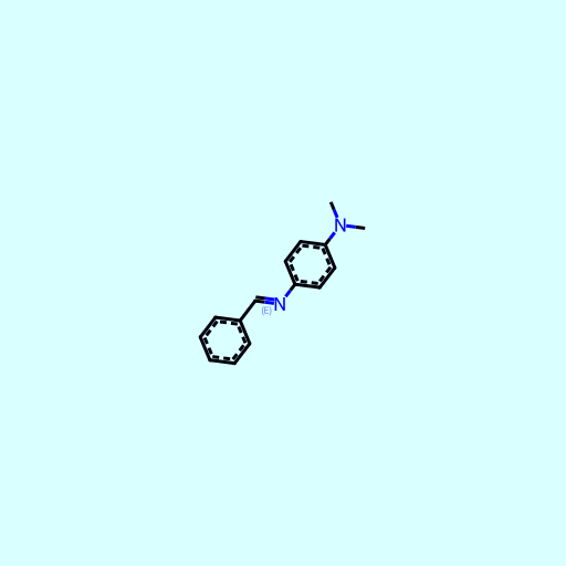 CN(C)c1ccc(/N=C/c2ccccc2)cc1